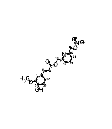 COc1cc(C=CC(=O)OCc2cccc(CO[N+](=O)[O-])n2)ccc1O